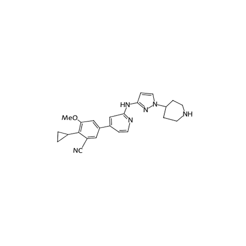 COc1cc(-c2ccnc(Nc3ccn(C4CCNCC4)n3)c2)cc(C#N)c1C1CC1